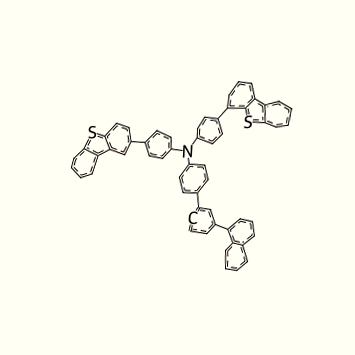 c1cc(-c2ccc(N(c3ccc(-c4ccc5sc6ccccc6c5c4)cc3)c3ccc(-c4cccc5c4sc4ccccc45)cc3)cc2)cc(-c2cccc3ccccc23)c1